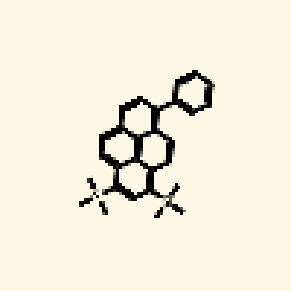 C[Si](C)(C)c1cc([Si](C)(C)C)c2ccc3c(-c4ccccc4)ccc4ccc1c2c43